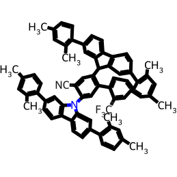 Cc1ccc(-c2ccc3c(c2)C(c2cc(C#N)c(-n4c5cc(-c6ccc(C)cc6C)ccc5c5ccc(-c6ccc(C)cc6C)cc54)cc2-c2ccccc2C(F)(F)F)c2cc(-c4ccc(C)cc4C)ccc2-3)c(C)c1